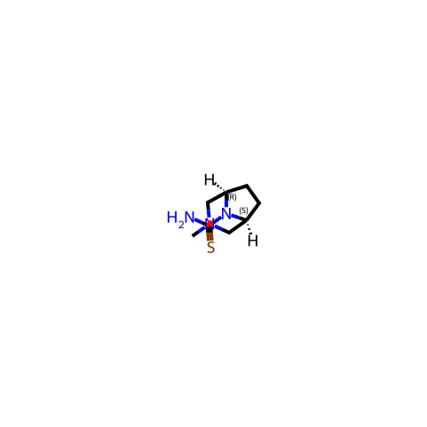 CN1C[C@H]2CC[C@@H](C1)N2C(N)=S